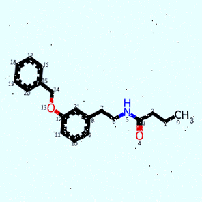 CCCC(=O)NCCc1cccc(OCc2ccccc2)c1